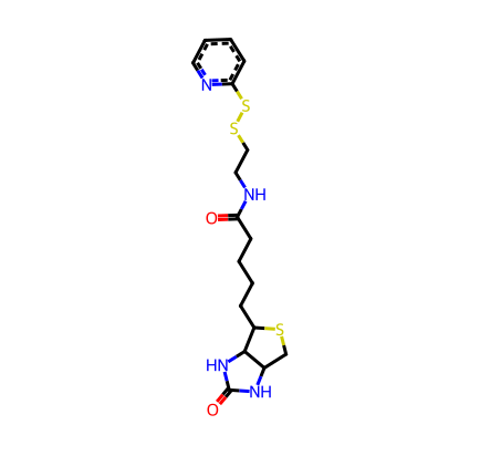 O=C(CCCCC1SCC2NC(=O)NC21)NCCSSc1ccccn1